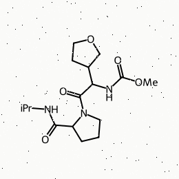 COC(=O)NC(C(=O)N1CCCC1C(=O)NC(C)C)C1CCOC1